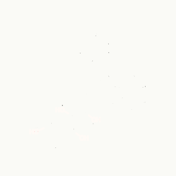 Cc1c(C(C)C(O)C(O)C(O)C(C)CO)cc(Cc2ccc(Cl)cc2)c2c1CCCC2